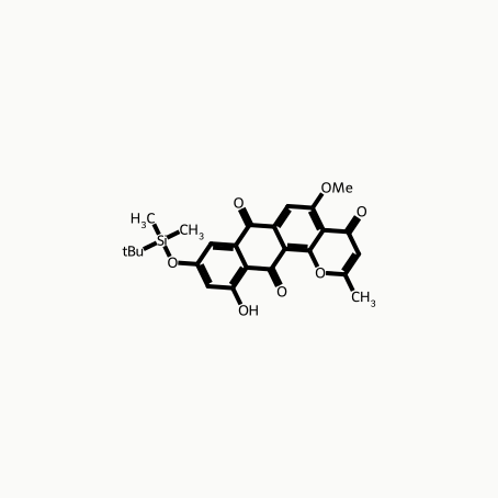 COc1cc2c(c3oc(C)cc(=O)c13)C(=O)c1c(O)cc(O[Si](C)(C)C(C)(C)C)cc1C2=O